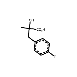 CC(O)(Cc1ccc(F)cc1)C(=O)O